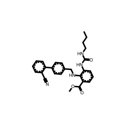 CCCCNC(=O)Nc1cccc(C(=O)OC)c1NCc1ccc(-c2ccccc2C#N)cc1